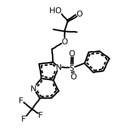 CC(C)(OCc1cc2nc(C(F)(F)F)ccc2n1S(=O)(=O)c1ccccc1)C(=O)O